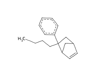 CCCCC1(c2ccccc2)CC2C=CC1C2